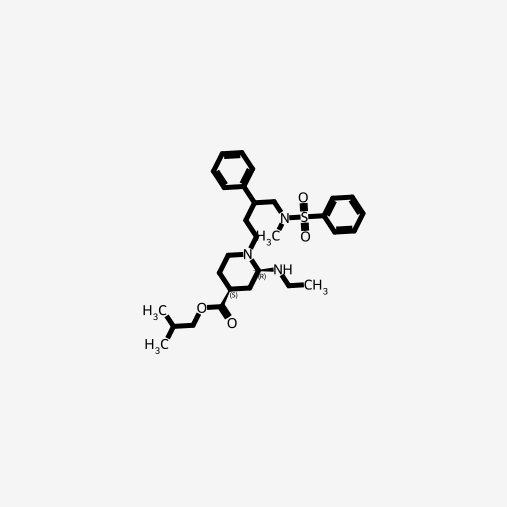 CCN[C@H]1C[C@@H](C(=O)OCC(C)C)CCN1CCC(CN(C)S(=O)(=O)c1ccccc1)c1ccccc1